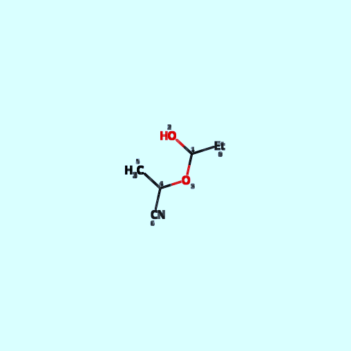 CCC(O)OC(C)C#N